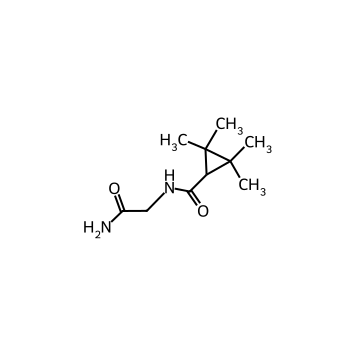 CC1(C)C(C(=O)NCC(N)=O)C1(C)C